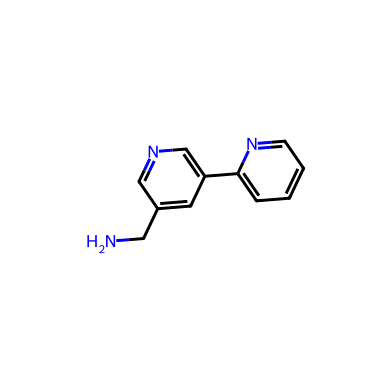 NCc1cncc(-c2ccccn2)c1